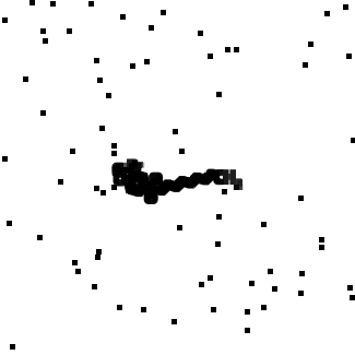 C=CCCCCCCCS(=O)(=O)c1ccc(OC)c(Br)c1